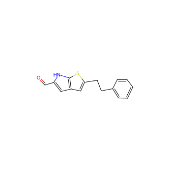 O=Cc1cc2cc(CCc3ccccc3)sc2[nH]1